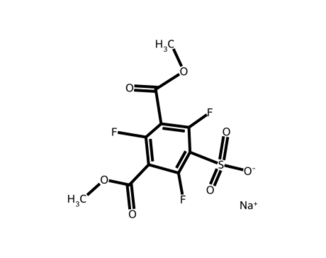 COC(=O)c1c(F)c(C(=O)OC)c(F)c(S(=O)(=O)[O-])c1F.[Na+]